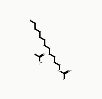 CC(=O)O.CCCCCCCCCCCCOC(C)=O